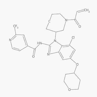 C=CC(=O)N1CCCCC(n2c(NC(=O)c3ccnc(C(F)(F)F)c3)nc3cc(OC4CCOCC4)cc(Cl)c32)C1